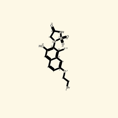 CC(C)CCOc1ccc2cc(O)c(N3CC(=O)NS3(=O)=O)c(F)c2c1